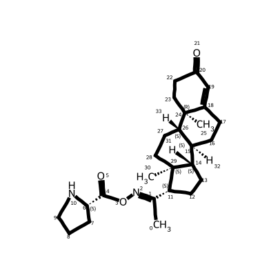 CC(=NOC(=O)[C@@H]1CCCN1)[C@H]1CC[C@H]2[C@@H]3CCC4=CC(=O)CC[C@]4(C)[C@H]3CC[C@]12C